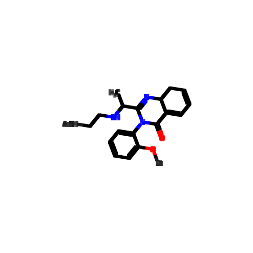 CCOc1ccccc1N1C(=O)C2=CC=CCC2N=C1C(C)NCCNC(C)=O